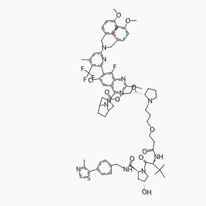 CCCCOC(=O)N1C2CCC1CN(c1nc(OC[C@@H]3CCCN3CCCOCCC(=O)N[C@H](C(=O)N3C[C@H](O)C[C@H]3C(=O)NCc3ccc(-c4scnc4C)cc3)C(C)(C)C)nc3c(F)c(-c4nc(N(Cc5ccc(OC)cc5)Cc5ccc(OC)cc5)cc(C)c4C(F)(F)F)c(Cl)cc13)C2